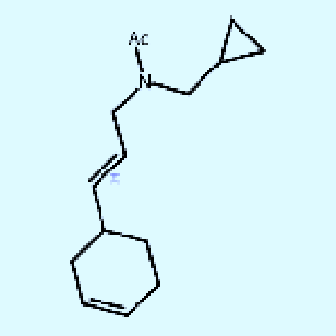 CC(=O)N(C/C=C/C1CC=CCC1)CC1CC1